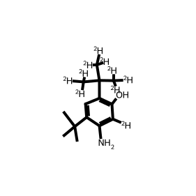 [2H]c1c(N)c(C(C)(C)C)cc(C(C([2H])([2H])[2H])(C([2H])([2H])[2H])C([2H])([2H])[2H])c1O